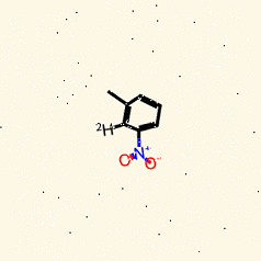 [2H]c1c(C)cccc1[N+](=O)[O-]